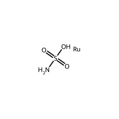 NS(=O)(=O)O.[Ru]